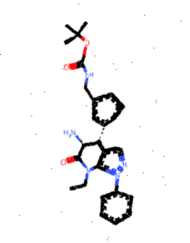 CCN1C(=O)[C@@H](N)[C@H](c2cccc(CNC(=O)OC(C)(C)C)c2)c2cnn(-c3ccccc3)c21